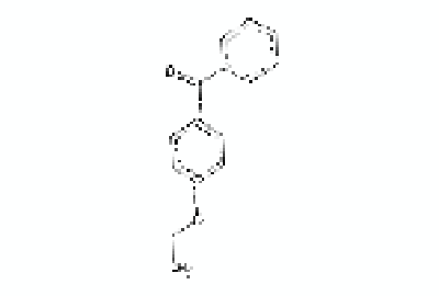 [CH2]COc1ccc(C(=O)c2ccccc2)cc1